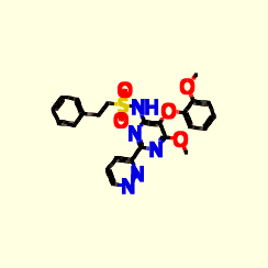 COc1ccccc1Oc1c(NS(=O)(=O)CCc2ccccc2)nc(-c2cccnn2)nc1OC